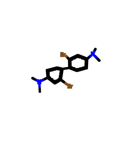 CN(C)c1ccc(-c2ccc(N(C)C)cc2Br)c(Br)c1